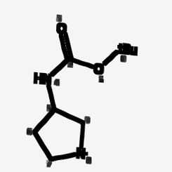 CC(C)(C)OC(=O)NC1CC[N]C1